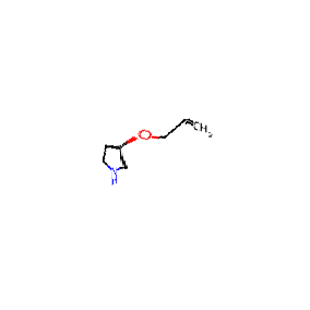 C=CCO[C@@H]1CCNC1